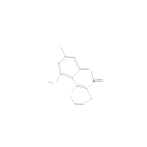 COc1cc(C)cc2[nH]c(=O)c3c(c12)NCCC3